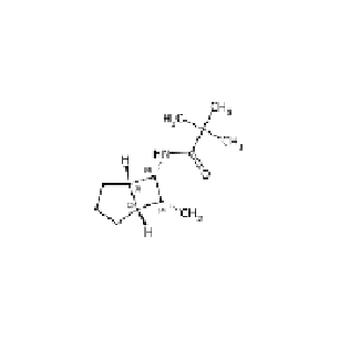 C[C@@H]1[C@@H]2CCC[C@@H]2[C@@H]1NC(=O)C(C)(C)C